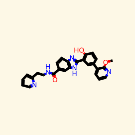 COc1ncccc1-c1ccc(O)c(-c2nc3ccc(C(=O)NCCc4ccccn4)cc3[nH]2)c1